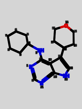 c1nc(NC2CCCCC2)c2c(C3CCOCC3)c[nH]c2n1